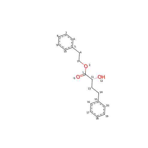 O=C(OCCc1ccccc1)[C@H](O)CCc1ccccc1